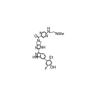 CCc1cc(O)c(F)cc1-c1ccc2c(-c3nc4c([nH]3)CN(C(=O)c3cnc(NCCNC)cn3)C4)n[nH]c2c1